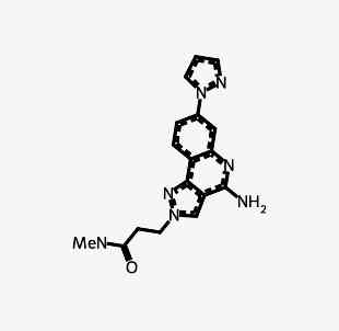 CNC(=O)CCn1cc2c(N)nc3cc(-n4cccn4)ccc3c2n1